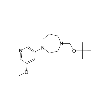 COc1cncc(N2CCCN(COC(C)(C)C)CC2)c1